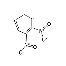 O=[N+]([O-])C1=C([N+](=O)[O-])C=CC[CH]1